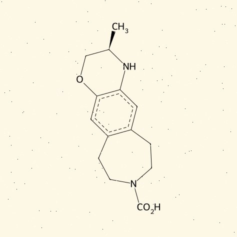 C[C@@H]1COc2cc3c(cc2N1)CCN(C(=O)O)CC3